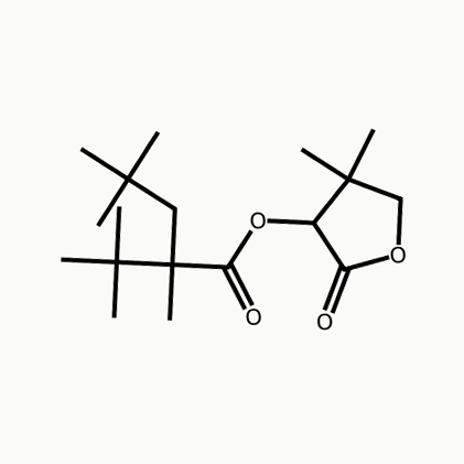 CC(C)(C)CC(C)(C(=O)OC1C(=O)OCC1(C)C)C(C)(C)C